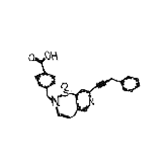 O=C(O)c1ccc(CN2C=Cc3cnc(C#CCc4ccccc4)cc3[S+]2[O-])cc1